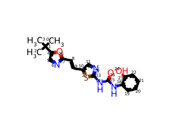 CC(C)(C)c1cnc(/C=C/c2cnc(NC(=O)Nc3ccccc3O)s2)o1